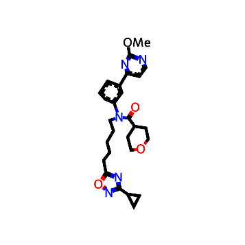 COc1nccc(-c2cccc(N(CCCCCc3nc(C4CC4)no3)C(=O)C3CCOCC3)c2)n1